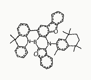 Cc1cc2c(cc1N1c3c(oc4ccccc34)B3c4c(cc5c(oc6ccccc65)c41)-c1cccc4c1N3c1ccccc1C4(C)C)C(C)(C)CCC2(C)C